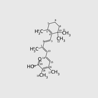 CC(C=CC1=C(C)CCCC1(C)C)=CC=CC(C)=C(C)C(=O)O